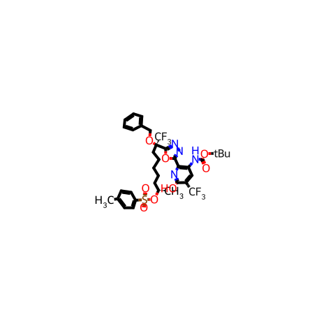 Cc1ccc(S(=O)(=O)O[C@@H](C)CCCCC[C@@](OCc2ccccc2)(c2nnc(-c3nc(O)c(C(F)(F)F)cc3NC(=O)OC(C)(C)C)o2)C(F)(F)F)cc1